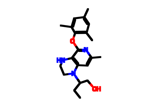 CCC(CO)N1CCNc2c1cc(C)nc2Oc1c(C)cc(C)cc1C